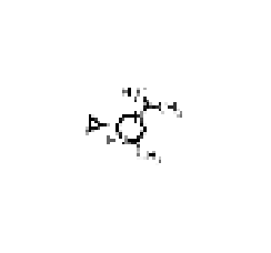 CC(C)N1C[C@H](C)N[C@@H](C2CC2)C1